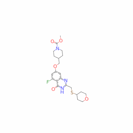 COC(=O)N1CCC(COc2cc(F)c3c(=O)[nH]c(CSC4CCOCC4)nc3c2)CC1